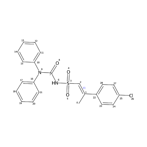 C/C(=C\S(=O)(=O)NC(=O)N(c1ccccc1)c1ccccc1)c1ccc(Cl)cc1